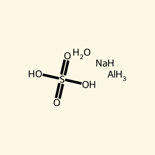 O.O=S(=O)(O)O.[AlH3].[NaH]